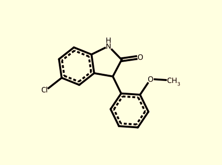 COc1ccccc1C1C(=O)Nc2ccc(Cl)cc21